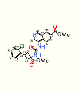 COC(=O)c1ccc2c(NC(=O)NC3(C(=O)OC)CC(c4ccccc4Cl)C3)cncc2c1